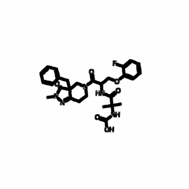 CN1N=C2CCN(C(=O)C(COc3ccccc3F)NC(=O)C(C)(C)NC(=O)O)CC2(Cc2ccccc2)C1=O